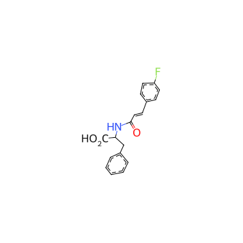 O=C(C=Cc1ccc(F)cc1)NC(Cc1ccccc1)C(=O)O